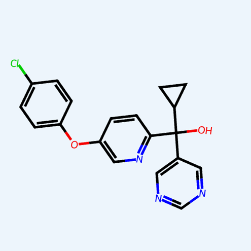 OC(c1cncnc1)(c1ccc(Oc2ccc(Cl)cc2)cn1)C1CC1